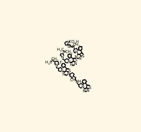 CN(C)C1CCCN(CC2CCN(c3ncnc4scc(-c5ccc(F)cc5)c34)CC2)C1.CN(C)[C@@H]1CCN(CC2CCN(c3ncnc4scc(-c5ccccc5)c34)CC2)C1.CN(CCC1(C(C)(C)C)CCCN1C(=O)O)C1CCN(c2ncnc3scc(-c4ccccc4)c23)CC1.CN1CCCCC1CCNCC1CCN(c2ncnc3scc(-c4ccccc4)c23)CC1